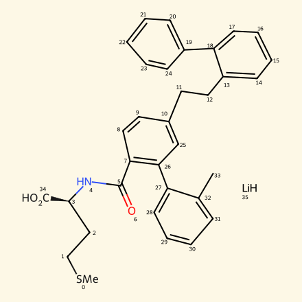 CSCC[C@H](NC(=O)c1ccc(CCc2ccccc2-c2ccccc2)cc1-c1ccccc1C)C(=O)O.[LiH]